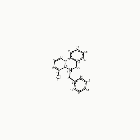 ClC1=CC=ICC1N(Cc1ccccc1)Cc1ccccc1